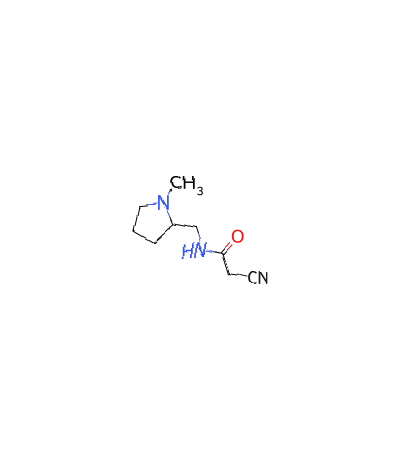 CN1CCCC1CNC(=O)CC#N